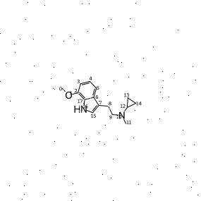 COc1cccc2c(CCN(C)C3CC3)c[nH]c12